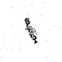 N/C(=C\N(N)Cc1cn2cc(C3CC3)ccc2n1)C(=O)NCc1ccc2nccn2c1